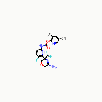 Cc1cc(C#N)cnc1OC(=O)Nc1ccc(F)c(C2(C(F)F)COCC(N)=N2)n1